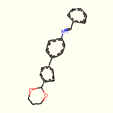 C(=N\c1ccc(-c2ccc(C3OCCCO3)cc2)cc1)/c1ccccc1